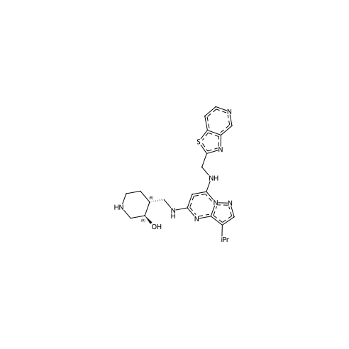 CC(C)c1cnn2c(NCc3nc4cnccc4s3)cc(NC[C@H]3CCNC[C@@H]3O)nc12